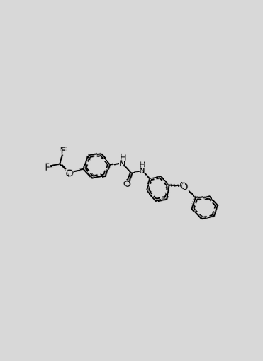 O=C(Nc1ccc(OC(F)F)cc1)Nc1cccc(Oc2ccccc2)c1